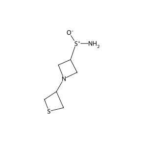 N[S+]([O-])C1CN(C2CSC2)C1